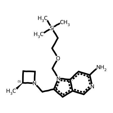 C[C@H]1CCN1Cc1cc2cnc(N)cc2n1COCC[Si](C)(C)C